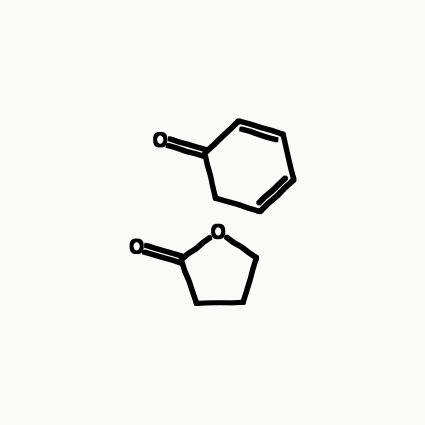 O=C1C=CC=CC1.O=C1CCCO1